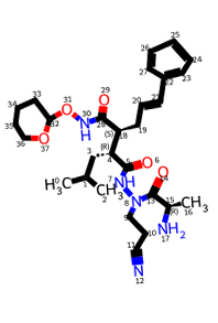 CC(C)C[C@@H](C(=O)NN(CCC#N)C(=O)[C@@H](C)N)[C@H](CC=Cc1ccccc1)C(=O)NOC1CCCCO1